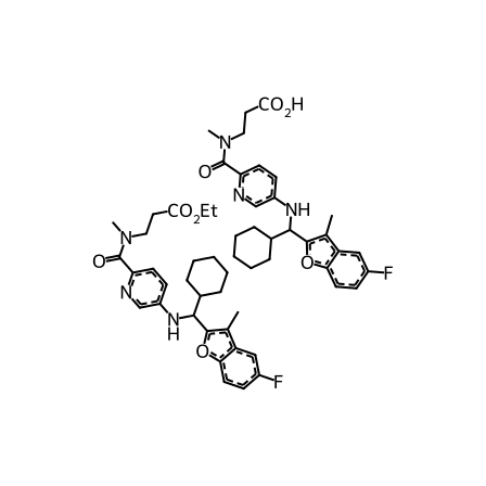 CCOC(=O)CCN(C)C(=O)c1ccc(NC(c2oc3ccc(F)cc3c2C)C2CCCCC2)cn1.Cc1c(C(Nc2ccc(C(=O)N(C)CCC(=O)O)nc2)C2CCCCC2)oc2ccc(F)cc12